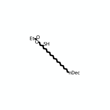 CCCCCCCCCCCCCCCCCCCCCCCCCC(S)CCOC(=O)CC